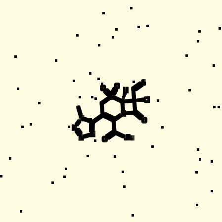 Cn1nnnc1C1=C(C(=O)C(C)(C)C)N2C(=O)[C@@](Cl)(C=S)[C@@H]2S(=O)(=O)C1